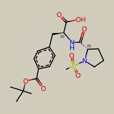 CC(C)(C)OC(=O)c1ccc(C[C@H](NC(=O)[C@@H]2CCCN2S(C)(=O)=O)C(=O)O)cc1